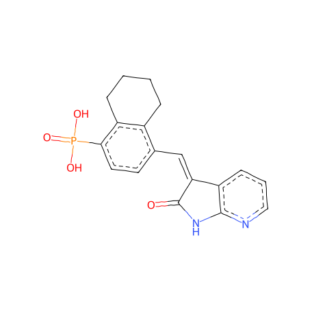 O=C1Nc2ncccc2C1=Cc1ccc(P(=O)(O)O)c2c1CCCC2